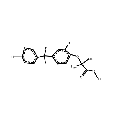 CC(C)OC(=O)C(C)(C)Oc1ccc(C(F)(F)c2ccc(Cl)cc2)cc1Br